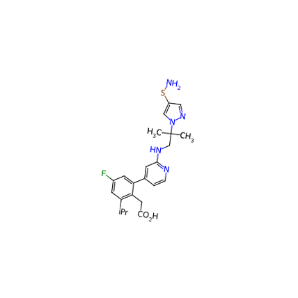 CC(C)c1cc(F)cc(-c2ccnc(NCC(C)(C)n3cc(SN)cn3)c2)c1CC(=O)O